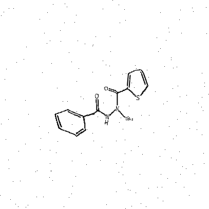 CC(C)(C)N(NC(=O)c1ccccc1)C(=O)c1cccs1